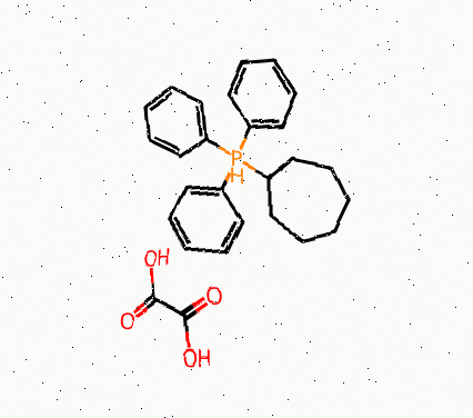 O=C(O)C(=O)O.c1ccc([PH](c2ccccc2)(c2ccccc2)C2CCCCCC2)cc1